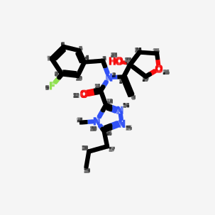 C=C(N(Cc1cccc(F)c1)C(=O)c1nnc(CCC)n1C)[C@@]1(O)CCOC1